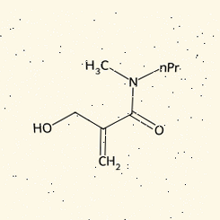 C=C(CO)C(=O)N(C)CCC